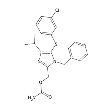 CC(C)c1nc(COC(N)=O)n(Cc2ccncc2)c1Sc1cccc(Cl)c1